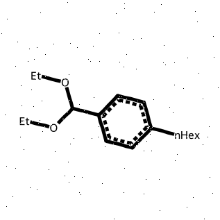 CCCCCCc1ccc(C(OCC)OCC)cc1